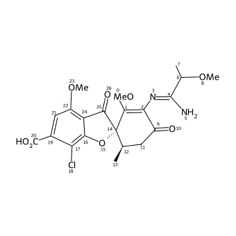 COC1=C(/N=C(\N)C(C)OC)C(=O)C[C@@H](C)[C@]12Oc1c(Cl)c(C(=O)O)cc(OC)c1C2=O